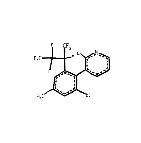 CCc1[c]c(C)cc(C(F)(C(F)(F)F)C(F)(F)C(F)(F)F)c1-c1cccnc1Cl